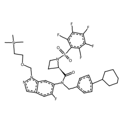 C[Si](C)(C)CCOCn1ncc2cc(F)c(N(Cc3ccc(C4CCCCC4)cc3)C(=O)[C@H]3CCN3S(=O)(=O)c3c(F)c(F)c(F)c(F)c3F)cc21